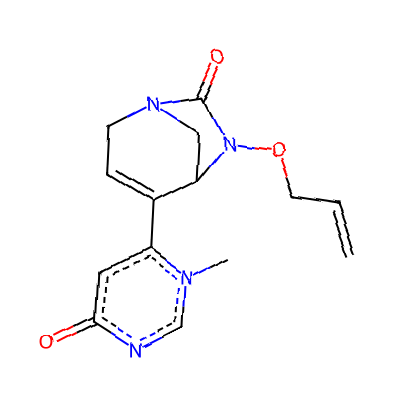 C=CCON1C(=O)N2CC=C(c3cc(=O)ncn3C)C1C2